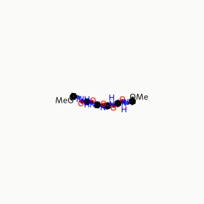 COc1cccc(/C=N/NC(=O)c2ccc(C(=O)Nc3ccc(-c4nc5ccc(NC(=O)c6ccc(C(=O)N/N=C/c7cccc(OC)c7)cc6)cc5o4)cc3)cc2)c1